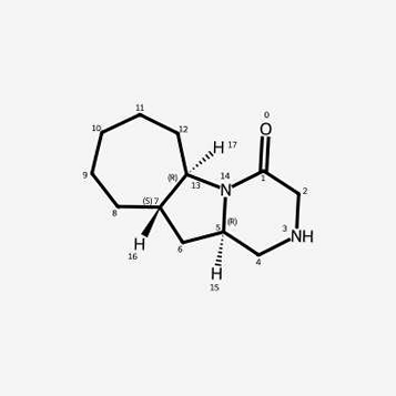 O=C1CNC[C@H]2C[C@@H]3CCCCC[C@H]3N12